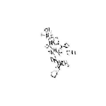 CCNCCN(C(=O)CNCC(=O)N(C)N1Cc2ccccc2C1)c1cc(C(C)=O)ccc1C.Cl